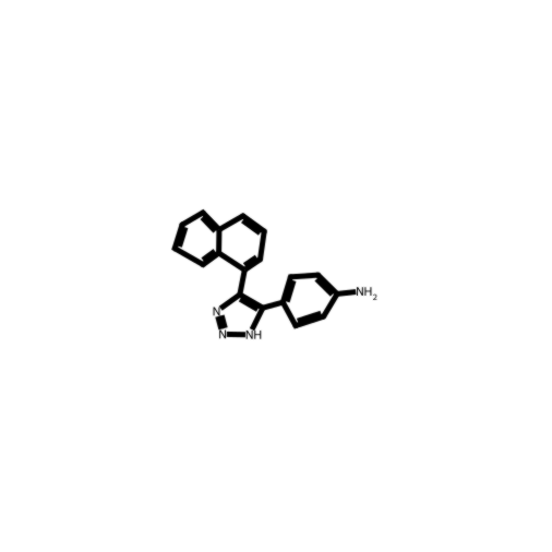 Nc1ccc(-c2[nH]nnc2-c2cccc3ccccc23)cc1